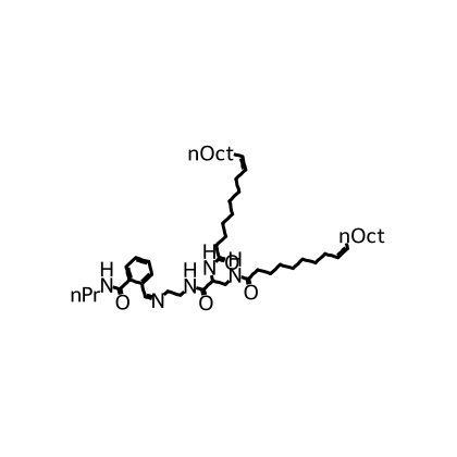 CCCCCCCC/C=C\CCCCCCCC(=O)NCC(NC(=O)CCCCCCC/C=C\CCCCCCCC)C(=O)NCC/N=C\c1ccccc1C(=O)NCCC